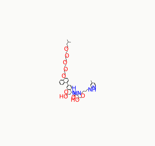 Cc1ccnc(NCCCC(=O)N[C@H](C(=O)N[C@@H](CC(=O)O)c2ccc(-c3ccc(OCCOCCOCCOCCOCCC(C)C)c4ccccc34)cc2)[C@@H](C)O)c1